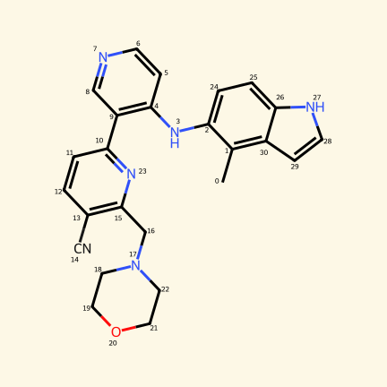 Cc1c(Nc2ccncc2-c2ccc(C#N)c(CN3CCOCC3)n2)ccc2[nH]ccc12